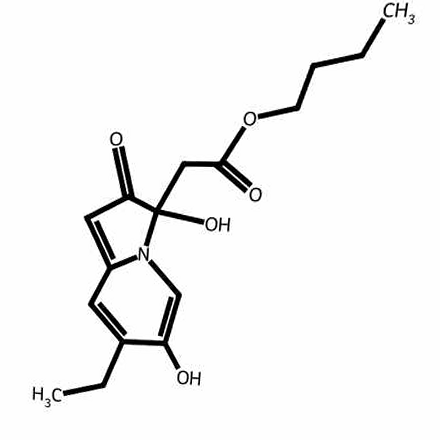 CCCCOC(=O)CC1(O)C(=O)C=C2C=C(CC)C(O)=CN21